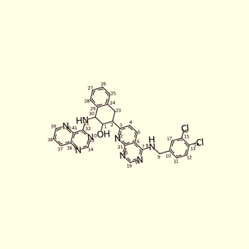 OC1C(c2ccc3c(NCc4ccc(Cl)c(Cl)c4)ncnc3n2)Cc2ccccc2C1Nc1ncnc2cccnc12